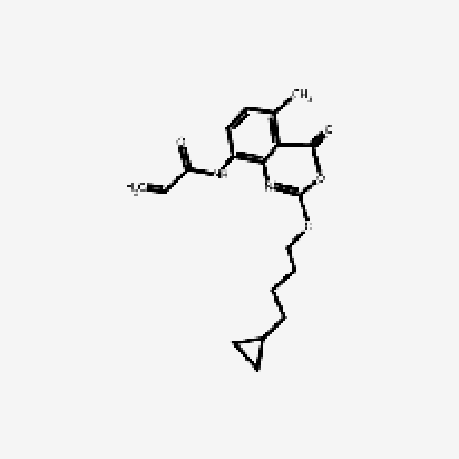 C=CC(=O)Nc1ccc(C)c2c(=O)oc(OCCCCC3CC3)nc12